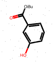 CC(C)COC(=O)c1cccc(O)c1